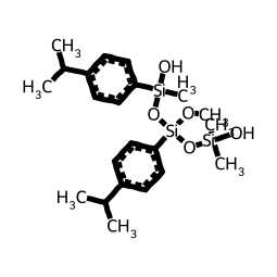 CO[Si](O[Si](C)(C)O)(O[Si](C)(O)c1ccc(C(C)C)cc1)c1ccc(C(C)C)cc1